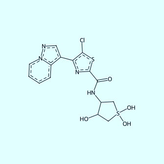 O=C(NC1CS(O)(O)CC1O)c1nc(-c2cnn3ccccc23)c(Cl)s1